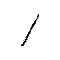 CCCCCCCCCCCCCCCCCCCCC[CH]SCCCCCCCCCCCCCCCCCCCC